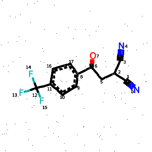 N#CC(C#N)CC(=O)c1ccc(C(F)(F)F)cc1